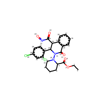 CCOC(=O)C1CCCCN1N1C(=O)c2ccccc2C(C(=O)N=O)C1c1ccc(Cl)cc1Cl